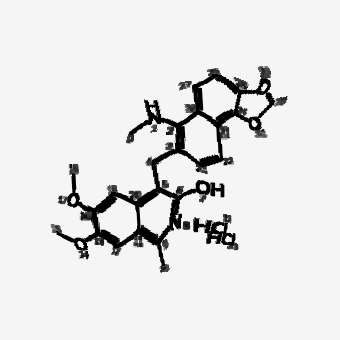 CNc1c(Cc2c(O)nc(C)c3cc(OC)c(OC)cc23)ccc2c3c(ccc12)OCO3.Cl.Cl